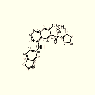 COc1cc2ncnc(Nc3ccc4scnc4c3)c2cc1S(=O)(=O)N1CCCC1